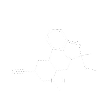 CSC1(C)N=c2cccc3c2=C1C[C@@H]1C3CC(C#N)CN1C